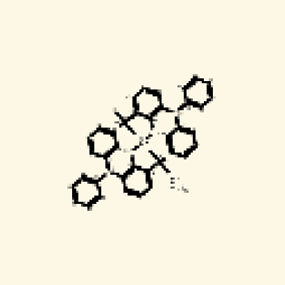 CC(C)(C)c1cccc(P(c2ccccc2)c2ccccc2)c1[S][Zr+2][S]c1c(P(c2ccccc2)c2ccccc2)cccc1C(C)(C)C.[Cl-].[Cl-]